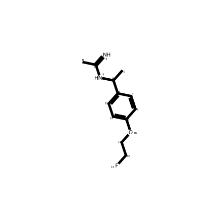 CC(=N)NC(C)c1ccc(OCCF)cc1